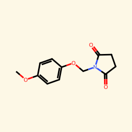 COc1ccc(OCN2C(=O)CCC2=O)cc1